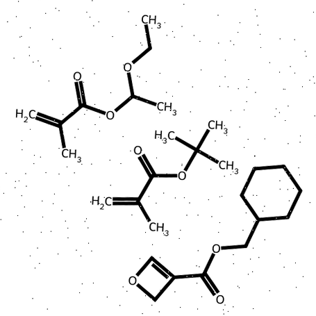 C=C(C)C(=O)OC(C)(C)C.C=C(C)C(=O)OC(C)OCC.O=C(OCC1CCCCC1)C1=COC1